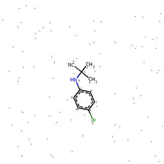 CC(C)(C#N)Nc1ccc(Br)cc1